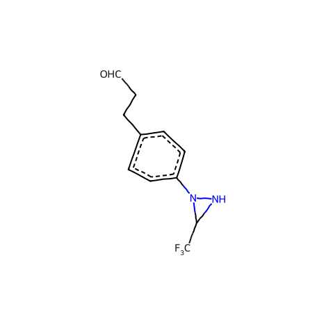 O=CCCc1ccc(N2NC2C(F)(F)F)cc1